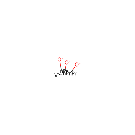 CCC[O-].CCC[O-].CCC[O-].[V+5]